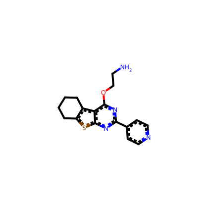 NCCOc1nc(-c2ccncc2)nc2sc3c(c12)CCCC3